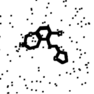 Clc1ccc2c(c1SCC1CCCO1)CCNCC2